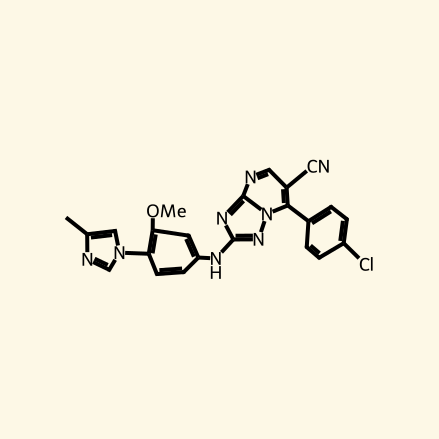 COc1cc(Nc2nc3ncc(C#N)c(-c4ccc(Cl)cc4)n3n2)ccc1-n1cnc(C)c1